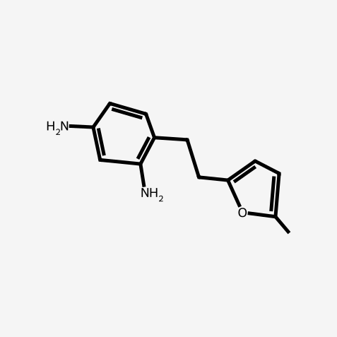 Cc1ccc(CCc2ccc(N)cc2N)o1